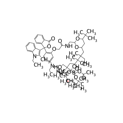 CCN(CC)c1ccc(C2(c3c(C)n(CC)c4ccccc34)OC(=O)c3ccccc32)c(OCC(=O)NCC2OC(CC(C)(CC)C(C)(C)C(CC(C)(CO)C(C)(C)C(CC(C)(C)C)OC(C)=O)OB(OC(C)C)OC(C)C)CC(C(C)(C)C)O2)c1